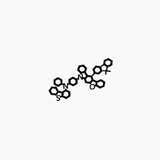 CC1(C)c2ccccc2-c2ccc(-c3c4c(cc5c3c3ccccc3n5-c3ccc(N(c5ccccc5)c5cccc6sc7ccccc7c56)cc3)oc3ccccc34)cc21